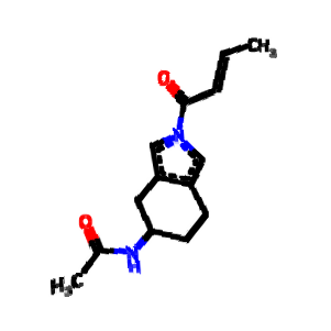 C/C=C/C(=O)n1cc2c(c1)CC(NC(C)=O)CC2